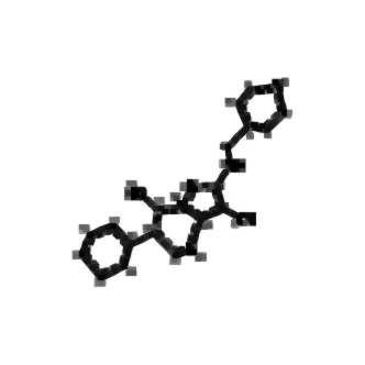 N#Cc1c(NCc2ccncc2)nn2c(O)c(-c3ccccc3)cnc12